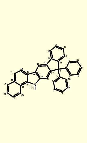 c1ccc(C2(c3ccccc3)c3ccccc3-c3cc4c(cc32)[nH]c2c3ccccc3ccc42)cc1